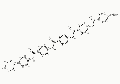 CCCCCCCCCc1ccc(C(=O)Oc2ccc(C(=O)Oc3ccc(C(=O)Oc4ccc(C(=O)Oc5ccc(N6CC[N]CC6)cc5)cc4)cc3)cc2)cc1